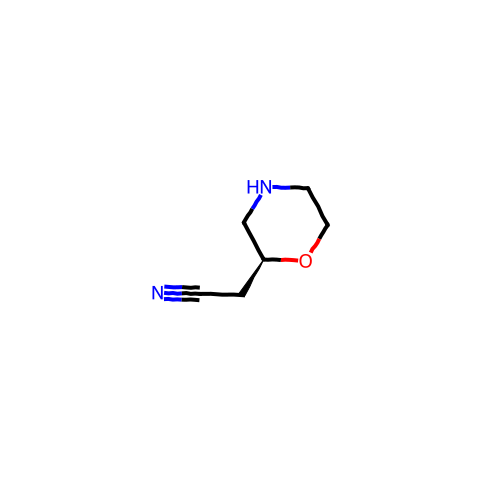 N#CC[C@H]1CNCCO1